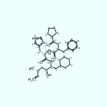 C=C[C@@H](C[C@H](O)[C@H](CC1CCCCC1)NC(=O)[C@H](Cc1c[nH]cn1)NC(=O)C(CC(=O)C1CCCC1)Cc1ccccc1)C(C)C